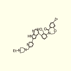 CCN1CCN(Cc2ccc(-c3cc4c(-c5cccc(N6CCOc7cc(C8CC8)ccc7C6=O)c5CO)ccnc4[nH]3)cn2)CC1